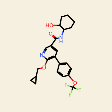 O=C(NC1CCCCC1O)c1cnc(OCC2CC2)c(-c2ccc(OC(F)(F)F)cc2)c1